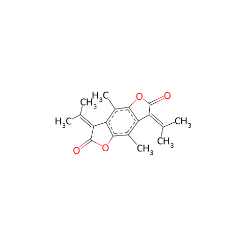 CC(C)=C1C(=O)Oc2c(C)c3c(c(C)c21)OC(=O)C3=C(C)C